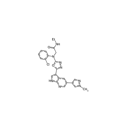 CCNC(=O)CN(c1nnc(-c2c[nH]c3ncc(-c4cnn(C)c4)cc23)o1)c1ccccc1Cl